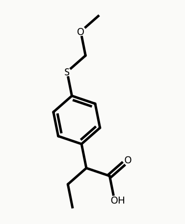 CCC(C(=O)O)c1ccc(SCOC)cc1